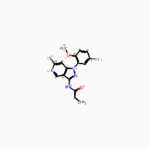 [CH2]CC(=O)Nc1nn(-c2cc(Cl)ccc2OC)c2cc(Cl)ncc12